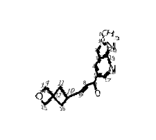 Cn1cc2cc(C(=O)C=CC3CC4(COC4)C3)cnc2n1